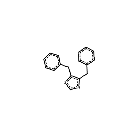 [c]1nc(Cc2ccccc2)c(Cc2ccccc2)s1